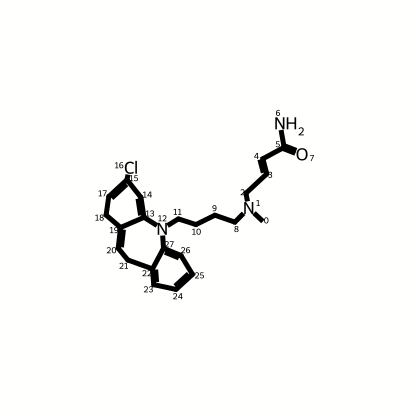 CN(C/C=C/C(N)=O)CCCCN1C2=CC(Cl)=CCC2=CCc2ccccc21